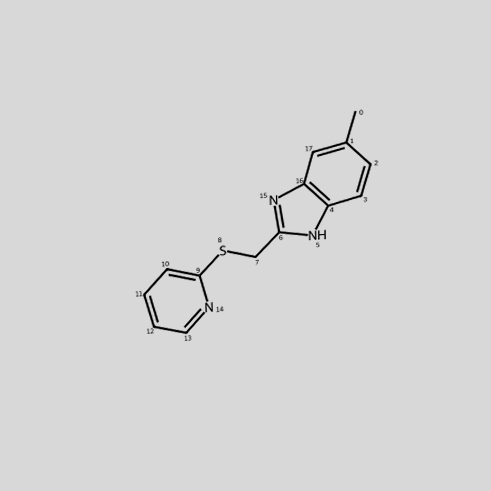 Cc1ccc2[nH]c(CSc3ccccn3)nc2c1